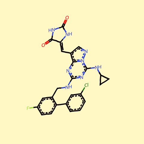 O=C1NC(=O)C(=Cc2cnn3c(NC4CC4)nc(NCc4cc(F)ccc4-c4cccc(Cl)c4)nc23)N1